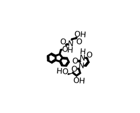 O=C(O)CNC(=O)OCC1c2ccccc2-c2ccccc21.O=c1ccn([C@H]2C[C@H](O)[C@@H](CO)O2)c(=O)[nH]1